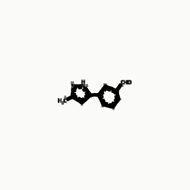 Cc1cc(-c2cccc(C=O)c2)[nH]n1